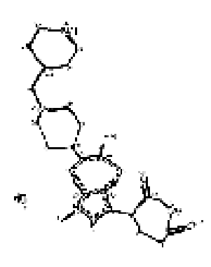 Cl.Cn1nc(C2CCC(=O)NC2=O)c2cc(F)c(C3CCN(CC4CCNCC4)CC3)cc21